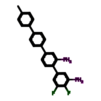 Cc1ccc(-c2ccc(-c3ccc(-c4cc(F)c(F)c(P)c4)c(P)c3)cc2)cc1